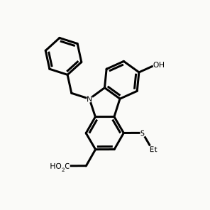 CCSc1cc(CC(=O)O)cc2c1c1cc(O)ccc1n2Cc1ccccc1